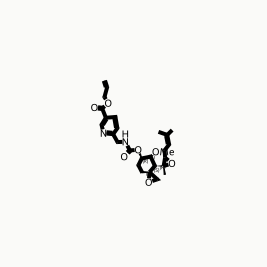 C=CCOC(=O)c1ccc(CNC(=O)O[C@@H]2CC[C@]3(CO3)[C@@H]([C@@]3(C)OC3CC=C(C)C)[C@@H]2OC)nc1